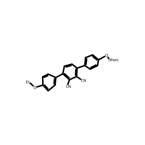 CCCCCOc1ccc(-c2ccc(-c3ccc(OCC)cc3)c(C#N)c2C#N)cc1